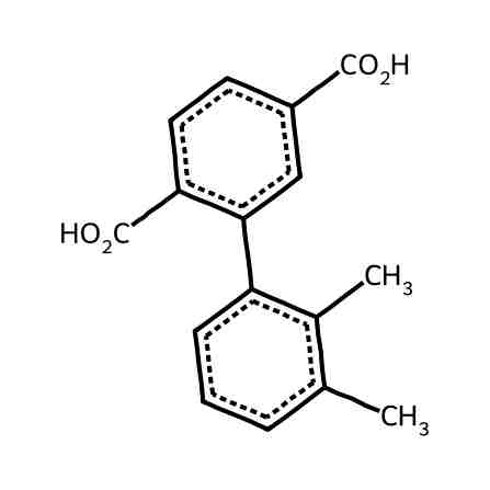 Cc1cccc(-c2cc(C(=O)O)ccc2C(=O)O)c1C